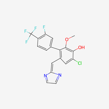 COc1c(O)c(Cl)cc(C=C2N=CC=N2)c1-c1ccc(C(F)(F)F)c(F)c1